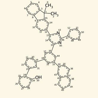 CC1(C)c2ccccc2-c2ccc(-c3cc(-c4cc(-c5cccc(-c6ccccc6O)c5)cc(-c5ccc6ccccc6c5)c4)nc(-c4ccccc4)n3)cc21